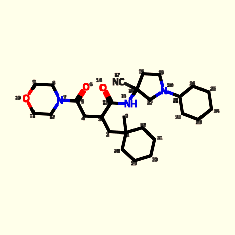 CC1(CC(CC(=O)N2CCOCC2)C(=O)NC2(C#N)CCN(C3CCCCC3)C2)CCCCC1